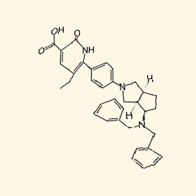 CCc1cc(C(=O)O)c(=O)[nH]c1-c1ccc(N2C[C@H]3CC[C@@H](N(Cc4ccccc4)Cc4ccccc4)[C@H]3C2)cc1